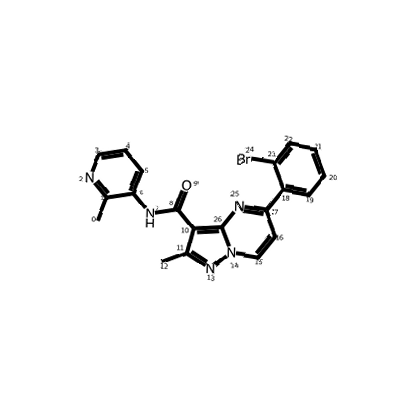 Cc1ncccc1NC(=O)c1c(C)nn2ccc(-c3ccccc3Br)nc12